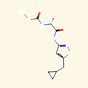 CCC[C@H](NC(=O)OC(C)(C)C)C(=O)Nc1cc(CC2CC2)on1